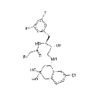 CCc1ccc2c(c1)[C@@H](NC[C@@H](O)[C@H](Cc1cc(F)cc(F)c1)NC(=O)CC(C)C)CS(O)(O)C2